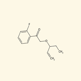 C=CC(CC)OCC(=O)c1ccccc1F